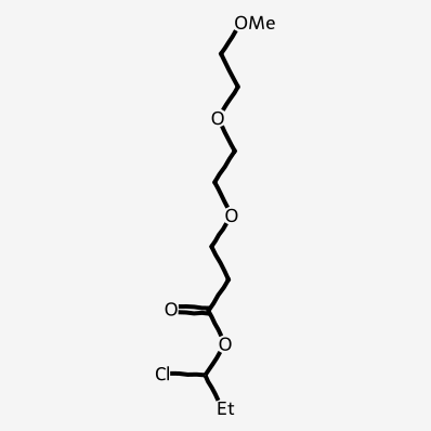 CCC(Cl)OC(=O)CCOCCOCCOC